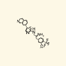 COc1cc(C[C@H](N)CNc2ncc(-c3ccc4ccncc4c3)s2)ccc1C(F)(F)F